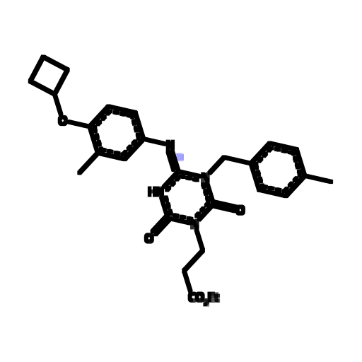 CCOC(=O)CCn1c(=O)[nH]/c(=N\c2ccc(OC3CCC3)c(C)c2)n(Cc2ccc(C)cc2)c1=O